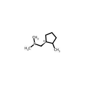 CC1CCC[C@@H]1CN(C)C